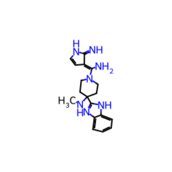 CNC1(c2nc3ccccc3[nH]2)CCN(/C(N)=C2\C=CNC2=N)CC1